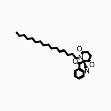 CCCCCCCCCCCC=CCCCN1C(=O)CCC(=O)C1(C#N)C(=O)c1ccccc1